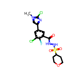 Cn1cc(-c2cc(Cl)c(F)c(C(=O)NNS(=O)(=O)C3CCOCC3)c2)nc1Cl